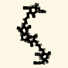 CCC1(COC)CC(=O)C(/C=C/C=C/C=C2C(=O)OC3(CCCC4(C3)OC(=O)C(=C/C=C/C=C/C3=C(O)CC(C)(COC)CC3=O)C(=O)O4)OC2=O)=C(O)C1